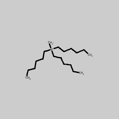 [CH2][N+](CCCCCC)(CCCCCC)CCCCCC